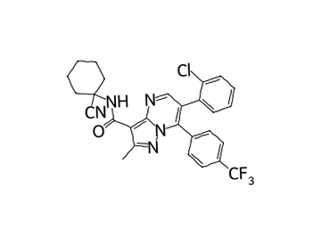 Cc1nn2c(-c3ccc(C(F)(F)F)cc3)c(-c3ccccc3Cl)cnc2c1C(=O)NC1(C#N)CCCCC1